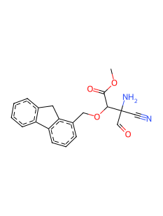 COC(=O)C(OCc1cccc2c1Cc1ccccc1-2)C(N)(C#N)C=O